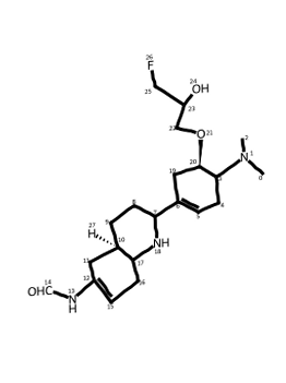 CN(C)C1CC=C(C2CC[C@@H]3CC(NC=O)=CCC3N2)C[C@H]1OCC(O)CF